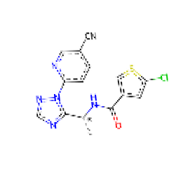 C[C@@H](NC(=O)c1csc(Cl)c1)c1ncnn1-c1ccc(C#N)cn1